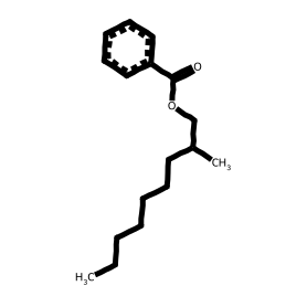 CCCCCCCC(C)COC(=O)c1ccccc1